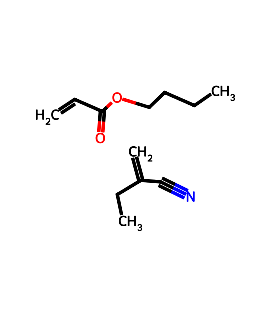 C=C(C#N)CC.C=CC(=O)OCCCC